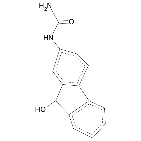 NC(=O)Nc1ccc2c(c1)C(O)c1ccccc1-2